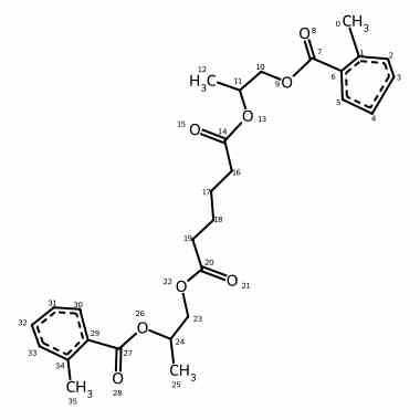 Cc1ccccc1C(=O)OCC(C)OC(=O)CCCCC(=O)OCC(C)OC(=O)c1ccccc1C